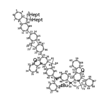 CCCCCCCC1(CCCCCCC)c2ccccc2-c2ccc(-c3ccc4c(c3)C(C)(C)c3cc(-c5cc6c(c7c5oc5ccccc57)-c5ccc(N(c7ccc8c(c7)C(C)(C)c7c9c(c%10oc%11ccccc%11c%10c7-8)-c7ccccc7C9(C)C)c7ccccc7C(C)(C)C)cc5C6(C)C)ccc3-4)cc21